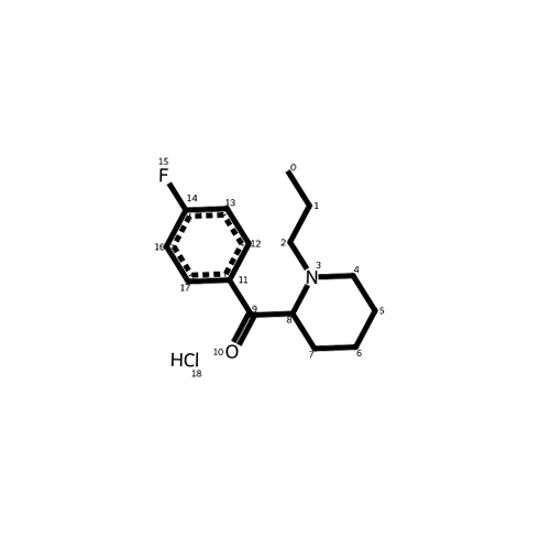 CCCN1CCCCC1C(=O)c1ccc(F)cc1.Cl